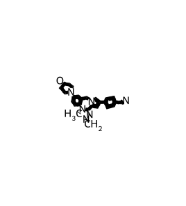 C=N/N=C1/c2cc(-c3ccc(C#N)cc3)cn2Cc2cc(N3CCC(=O)CC3)ccc2N1C